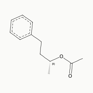 CC(=O)O[C@H](C)CCc1ccccc1